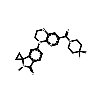 CN1C(=O)c2ccc(N3CCOc4cc(C(=O)N5CCC(F)(F)CC5)cnc43)cc2C12CC2